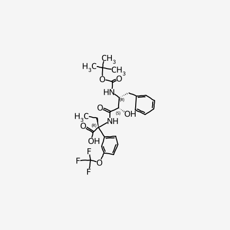 CC[C@](NC(=O)[C@@H](O)[C@@H](Cc1ccccc1)NC(=O)OC(C)(C)C)(C(=O)O)c1cccc(OC(F)(F)F)c1